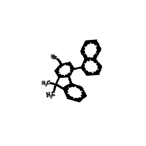 CC1(C)c2ccccc2-c2c(-c3cccc4ccccc34)cc(Br)cc21